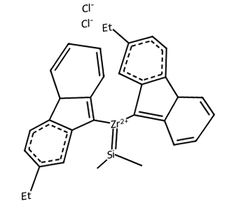 CCc1ccc2c(c1)[C]([Zr+2]([C]1=C3C=CC=CC3c3ccc(CC)cc31)=[Si](C)C)=C1C=CC=CC12.[Cl-].[Cl-]